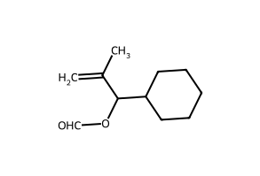 C=C(C)C(OC=O)C1CCCCC1